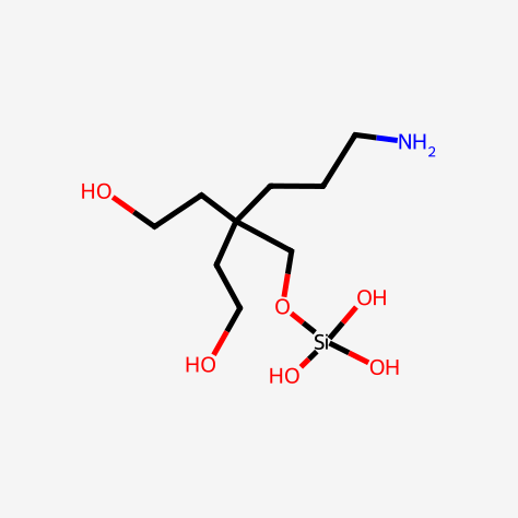 NCCCC(CCO)(CCO)CO[Si](O)(O)O